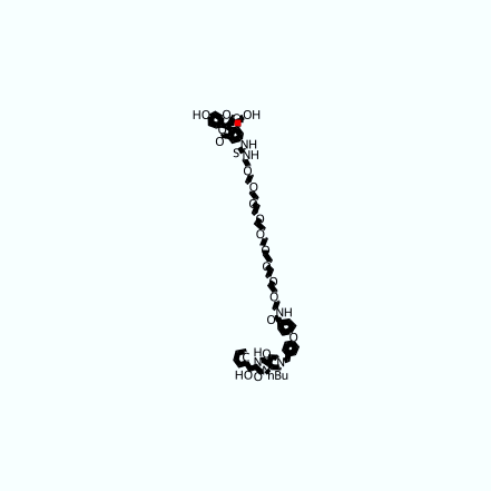 CCCCN1C(=O)[C@@H]([C@H](O)C2CCCCC2)NC(=O)C12CCN(Cc1ccc(Oc3ccc(C(=O)NCCOCCOCCOCCOCCOCCOCCOCCOCCOCCNC(=S)Nc4ccc5c(c4)C(=O)OC54c5ccc(O)cc5Oc5cc(O)ccc54)cc3)cc1)CC2